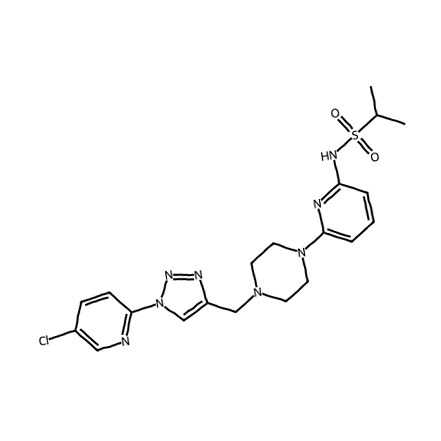 CC(C)S(=O)(=O)Nc1cccc(N2CCN(Cc3cn(-c4ccc(Cl)cn4)nn3)CC2)n1